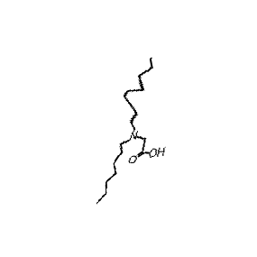 CCCCCCCN(CCCCCCC)CC(=O)O